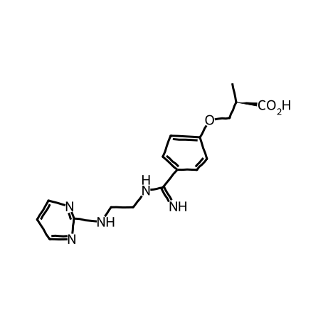 C[C@H](COc1ccc(C(=N)NCCNc2ncccn2)cc1)C(=O)O